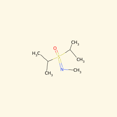 CN=S(=O)(C(C)C)C(C)C